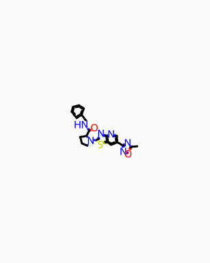 Cc1nc(-c2cnc3nc(N4CCCC4C(=O)NCc4ccccc4)sc3c2)no1